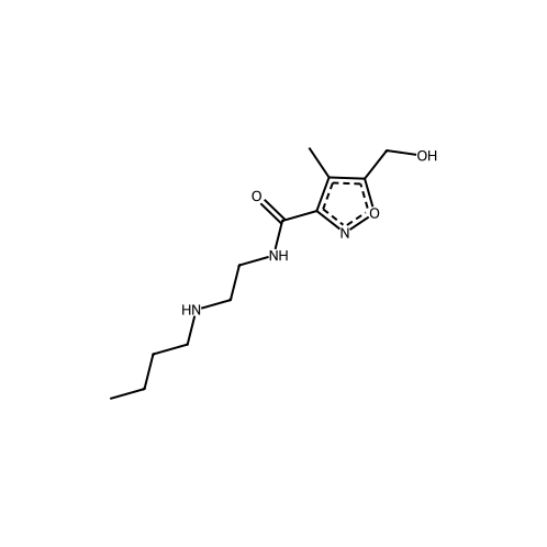 CCCCNCCNC(=O)c1noc(CO)c1C